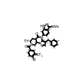 CC[C@@H]1CC2C(=O)N(c3ccc4c(NC)n[nH]c4c3)c3c(Cc4ccccc4)cnn3C2CN1C(=O)c1ccc(Br)c(C(F)(F)F)c1